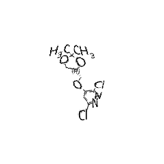 CC1(C)OC[C@@H](COc2cc(Cl)nnc2Cl)O1